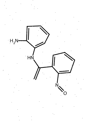 C=C(Nc1ccccc1N)c1ccccc1N=O